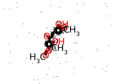 COCOc1ccc(C(=O)C=Cc2ccc(OC)c(O)c2)c(O)c1C